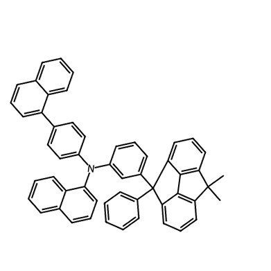 CC1(C)c2cccc3c2-c2c1cccc2C3(c1ccccc1)c1cccc(N(c2ccc(-c3cccc4ccccc34)cc2)c2cccc3ccccc23)c1